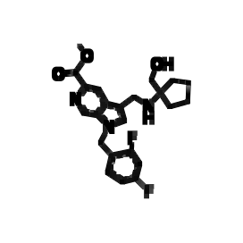 COC(=O)c1cc2c(CNC3(CO)CCCC3)cn(Cc3ccc(F)cc3F)c2cn1